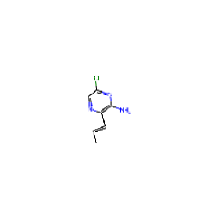 C/C=C/c1ncc(Cl)nc1N